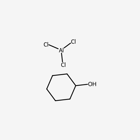 OC1CCCCC1.[Cl][Al]([Cl])[Cl]